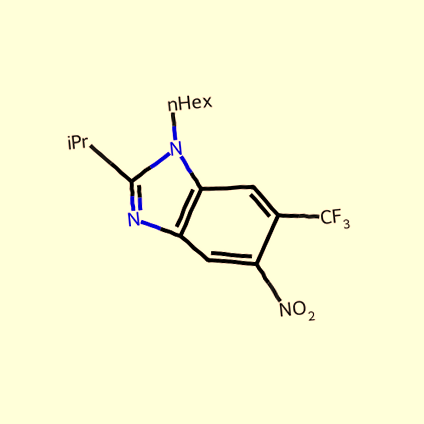 CCCCCCn1c(C(C)C)nc2cc([N+](=O)[O-])c(C(F)(F)F)cc21